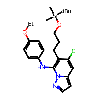 CCOc1ccc(Nc2c(CCCO[Si](C)(C)C(C)(C)C)c(Cl)cc3ccnn23)cc1